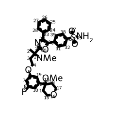 CNC(C)(CCOc1cc(F)cc(C2(OC)CCOCC2)c1)c1nc(-c2ccccc2)c(-c2ccc(S(N)(=O)=O)cc2)o1